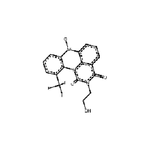 O=c1c2cccc3c2n(c(=O)n1CCO)-c1c(cccc1C(F)(F)F)[S+]3[O-]